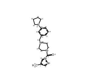 Cc1cnn(C(=O)N2CCN(Cc3cccc(N4CCCC4)c3)CC2)c1